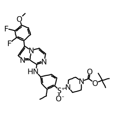 CCc1cc(Nc2nccn3c(-c4ccc(OC)c(F)c4F)cnc23)ccc1[S+]([O-])N1CCN(C(=O)OC(C)(C)C)CC1